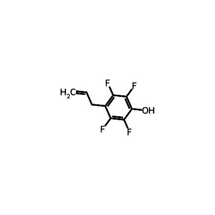 C=CCc1c(F)c(F)c(O)c(F)c1F